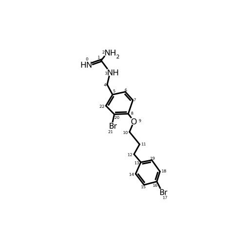 N=C(N)NCc1ccc(OCCCc2ccc(Br)cc2)c(Br)c1